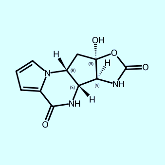 O=C1N[C@H]2[C@@H]3NC(=O)c4cccn4[C@@H]3C[C@@]2(O)O1